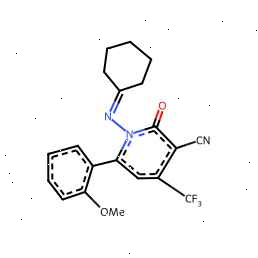 COc1ccccc1-c1cc(C(F)(F)F)c(C#N)c(=O)n1N=C1CCCCC1